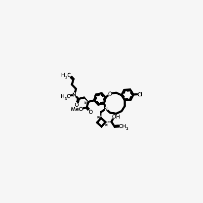 C=CCCN(C)C(=O)C[C@H](C(=O)OC)c1ccc2c(c1)N(C[C@@H]1CC[C@H]1C(O)C=C)CCCCc1cc(Cl)ccc1CO2